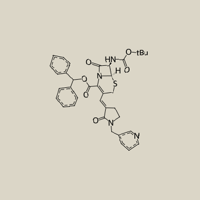 CC(C)(C)OC(=O)N[C@@H]1C(=O)N2C(C(=O)OC(c3ccccc3)c3ccccc3)=C(C=C3CCN(Cc4cccnc4)C3=O)CS[C@H]12